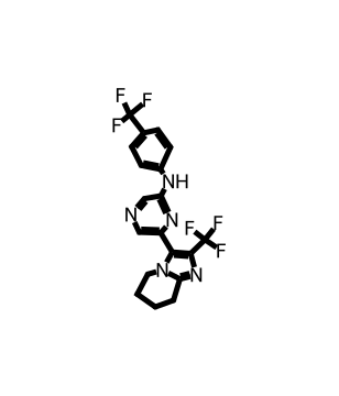 FC(F)(F)c1ccc(Nc2cncc(-c3c(C(F)(F)F)nc4n3CCCC4)n2)cc1